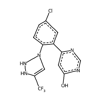 Oc1cc(-c2cc(Cl)ccc2N2C=C(C(F)(F)F)NN2)ncn1